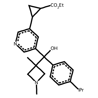 CCOC(=O)C1CC1c1cncc(C(O)(c2ccc(C(C)C)cc2)C2(C)CN(C)C2)c1